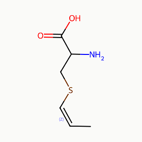 C/C=C\SCC(N)C(=O)O